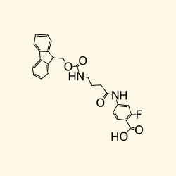 O=C(CCCNC(=O)OCC1c2ccccc2-c2ccccc21)Nc1ccc(C(=O)O)c(F)c1